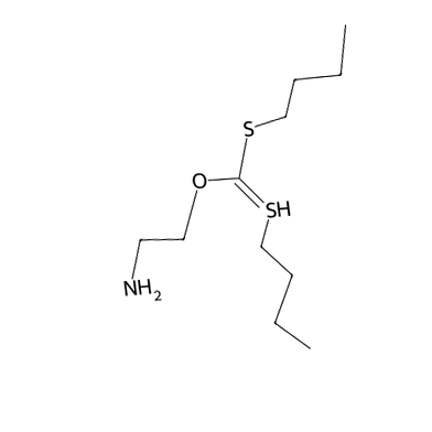 CCCCSC(OCCN)=[SH]CCCC